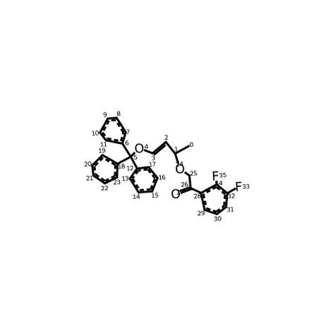 CC(C=COC(c1ccccc1)(c1ccccc1)c1ccccc1)OCC(=O)c1cccc(F)c1F